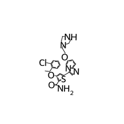 CC(Oc1cc(-c2cnc3ccc(OCCN4CCNCC4)cn23)sc1C(N)=O)c1ccccc1Cl